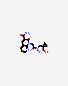 CN(CC1(CO)CC1)C(=O)Cn1c(=O)c(C(N)=O)cc2cccnc21